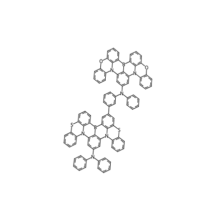 c1ccc(N(c2cccc(-c3cc4c5c(c3)B3c6cccc7c6N(c6ccccc6S7)c6cc(N(c7ccccc7)c7ccccc7)cc(c63)N5c3ccccc3S4)c2)c2cc3c4c(c2)N2c5ccccc5Oc5cccc(c52)B4c2cccc4c2N3c2ccccc2O4)cc1